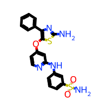 Nc1nc(-c2ccccc2)c(Oc2ccnc(Nc3cccc(S(N)(=O)=O)c3)c2)s1